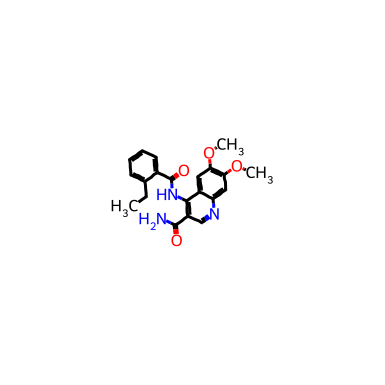 CCc1ccccc1C(=O)Nc1c(C(N)=O)cnc2cc(OC)c(OC)cc12